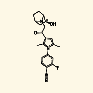 Cc1cc(C(=O)CN2C3CCC2[C@@H](O)C3)c(C)n1-c1ccc(C#N)c(F)c1